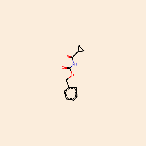 O=C(NC(=O)C1CC1)OCc1ccccc1